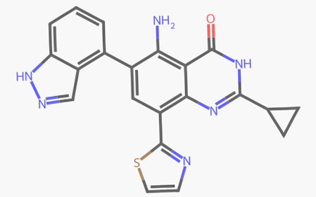 Nc1c(-c2cccc3[nH]ncc23)cc(-c2nccs2)c2nc(C3CC3)[nH]c(=O)c12